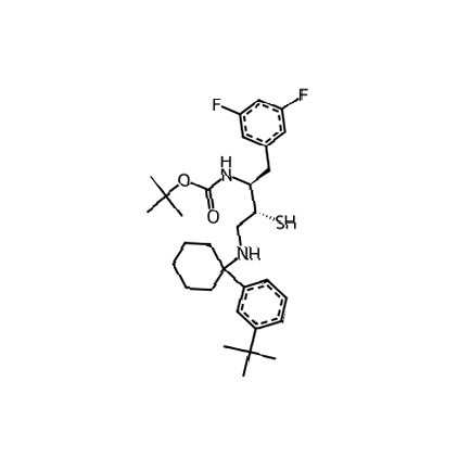 CC(C)(C)OC(=O)N[C@@H](Cc1cc(F)cc(F)c1)[C@H](S)CNC1(c2cccc(C(C)(C)C)c2)CCCCC1